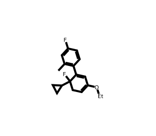 CCOC1=CCC(F)(C2CC2)C(c2ccc(F)cc2C)=C1